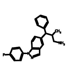 CC(CN)C(c1ccccc1)c1ccc2c(cnn2-c2ccc(F)cc2)c1